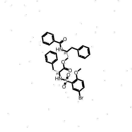 COc1ccc(Br)cc1S(=O)(=O)N[C@H](Cc1ccccc1)C(=O)OC[C@@H](Cc1ccccc1)NC(=O)c1ccccc1